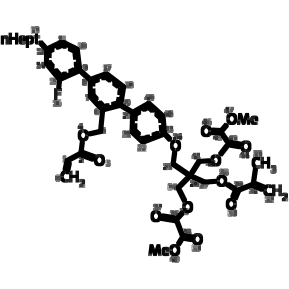 C=CC(=O)OCc1cc(-c2ccc(CCCCCCC)cc2F)ccc1-c1ccc(OCC(COC(=O)C(=C)C)(COC(=O)C(=O)OC)COC(=O)C(=O)OC)cc1